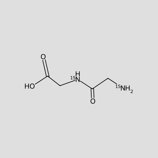 [15NH2]CC(=O)[15NH]CC(=O)O